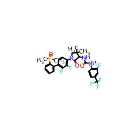 CC1(C)CN(c2ccc(-c3ccccc3P(C)(C)=O)c(F)c2F)C(=O)C1NC(=O)Nc1ccc(C(F)(F)F)cc1F